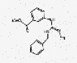 COC(=O)c1cccc(N/C(=N/C#N)NCc2ccccc2)c1